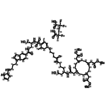 Cc1cc(OCCCC(=O)NCCC[C@H](CS(=O)(=O)O)NC(=O)CN2CCN(CC(=O)OC(C)(C)C)CCN(CC(=O)OC(C)(C)C)CCN(CC(=O)OC(C)(C)C)CC2)cc(C)c1S(=O)(=O)N[C@@H](CNC(=O)c1ccc2c(cnn2CCCNc2ncc[nH]2)c1)C(=O)O.O=C(O)C(F)(F)F.O=C(O)C(F)(F)F